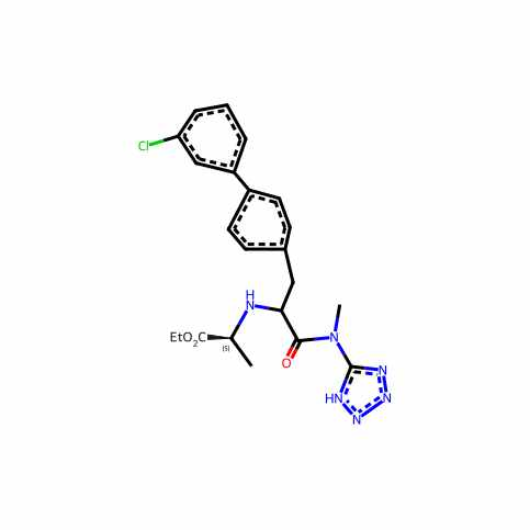 CCOC(=O)[C@H](C)NC(Cc1ccc(-c2cccc(Cl)c2)cc1)C(=O)N(C)c1nnn[nH]1